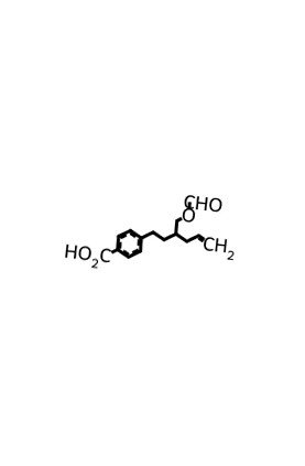 C=CCC(CCc1ccc(C(=O)O)cc1)COC=O